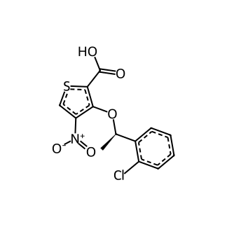 C[C@@H](Oc1c([N+](=O)[O-])csc1C(=O)O)c1ccccc1Cl